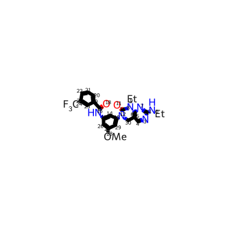 CCNc1ncc2c(n1)N(CC)C(=O)N(c1cc(NC(=O)c3cccc(C(F)(F)F)c3)cc(OC)c1)C2